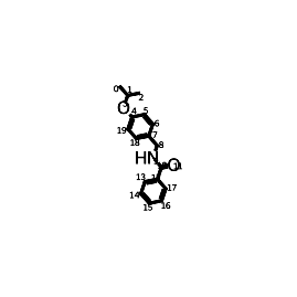 CC(C)Oc1ccc(CNC(=O)c2ccccc2)cc1